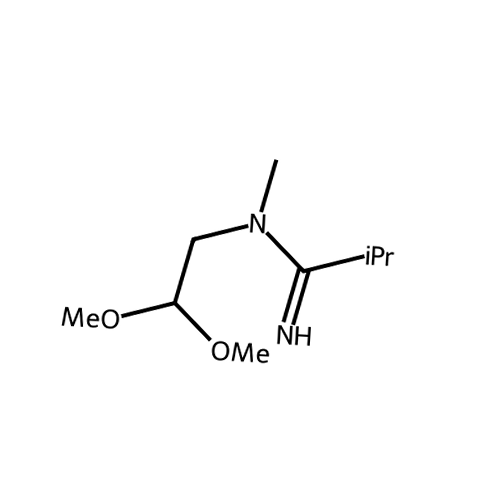 COC(CN(C)C(=N)C(C)C)OC